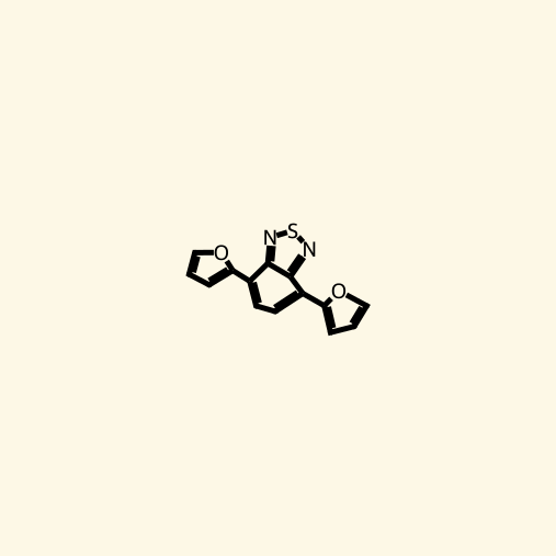 c1coc(-c2ccc(-c3ccco3)c3nsnc23)c1